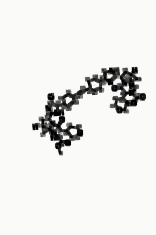 COC(=O)N[C@H](C(=O)N1[C@@H]2C[C@H]2C[C@H]1c1nc(Cl)c(-c2ccc(C#Cc3ccc(-c4c[nH]c([C@@H]5C[C@H]6C[C@H]6N5C(=O)[C@H](C5CCOCC5)N(C)C(=O)O)n4)cc3)cc2)[nH]1)C1CCOCC1